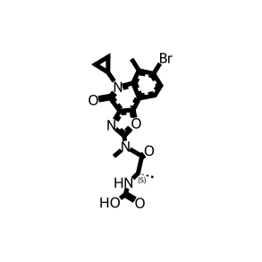 Cc1c(Br)ccc2c3oc(N(C)C(=O)[C@H](C)NC(=O)O)nc3c(=O)n(C3CC3)c12